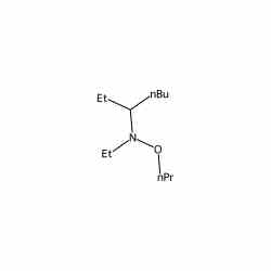 CCCCC(CC)N(CC)OCCC